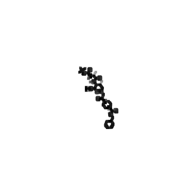 C[C@H](COCC(=O)N1CCN(C(=O)OCc2ccccc2)CC1)[C@@H](C(=O)O)N(C)C(=O)[C@@H](C)N(C)C(=O)OC(C)(C)C